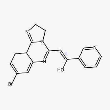 O/C(=C\C1=NC2=CC(Br)=CCC2C2=NCCN12)c1cccnc1